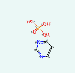 O=P(O)(O)O.c1cncnc1